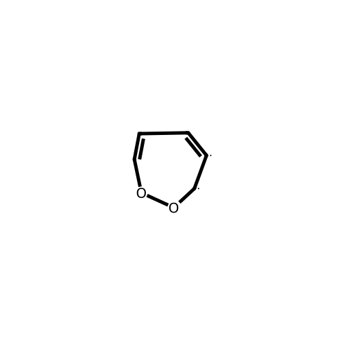 [C]1=CC=COO[CH]1